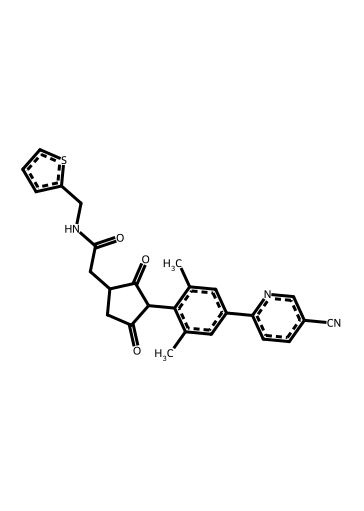 Cc1cc(-c2ccc(C#N)cn2)cc(C)c1C1C(=O)CC(CC(=O)NCc2cccs2)C1=O